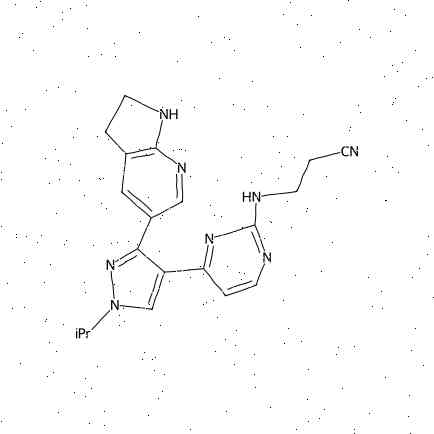 CC(C)n1cc(-c2ccnc(NCCC#N)n2)c(-c2cnc3c(c2)CCN3)n1